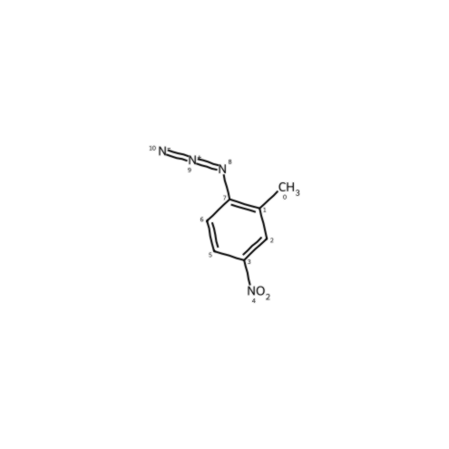 Cc1cc([N+](=O)[O-])ccc1N=[N+]=[N-]